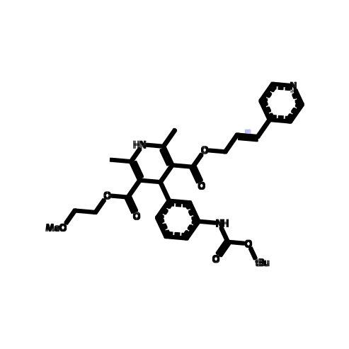 COCCOC(=O)C1=C(C)NC(C)=C(C(=O)OC/C=C/c2ccncc2)C1c1cccc(NC(=O)OC(C)(C)C)c1